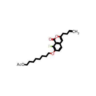 C=CCCc1cc2ccc(OCCCCCCCCOC(C)=O)c(F)c2c(=O)o1